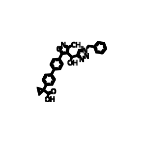 Cc1noc(-c2ccc(-c3ccc(C4(C(=O)O)CC4)cc3)cc2)c1C(O)c1cn(Cc2ccccc2)nn1